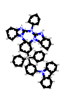 c1ccc(-n2c3nc4ccccc4n3c3ccc([Si](c4ccccc4)(c4ccccc4)c4cccc(-n5c6ccccc6c6ccccc65)c4)cc3n3c4ccccc4nc23)cc1